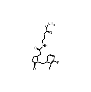 COC(=O)CCCNC(=O)CC1CCC(=O)N1Cc1cccc(F)c1F